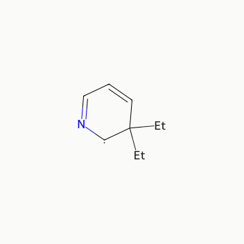 CCC1(CC)[CH]N=CC=C1